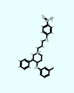 Cc1cccc(OC2CCN(CCCOc3ccc([N+](=O)[O-])cc3)CC2c2ccccc2)c1